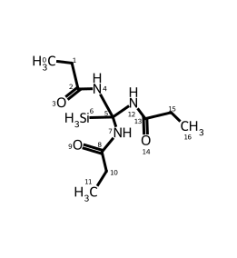 CCC(=O)NC([SiH3])(NC(=O)CC)NC(=O)CC